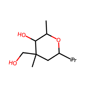 CC(C)C1CC(C)(CO)C(O)C(C)O1